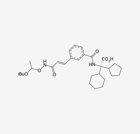 CC(C)COC(C)ONC(=O)/C=C/c1cccc(C(=O)N[C@](C(=O)O)(C2CCCCC2)C2CCCC2)c1